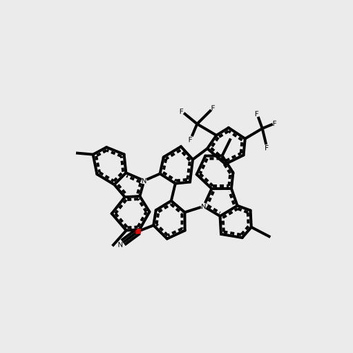 Cc1ccc2c(c1)c1cc(C)ccc1n2-c1ccc(C#N)cc1-c1cc(-c2ccc(C(F)(F)F)cc2C(F)(F)F)ccc1-n1c2ccc(C)cc2c2cc(C)ccc21